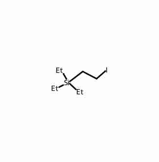 CC[Si](CC)(CC)CCI